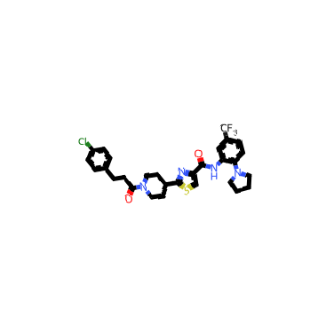 O=C(Nc1cc(C(F)(F)F)ccc1N1CCCC1)c1csc(C2CCN(C(=O)CCc3ccc(Cl)cc3)CC2)n1